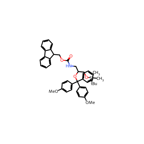 COc1ccc(C(OC(CNC(=O)OCC2c3ccccc3-c3ccccc32)CO[Si](C)(C)C(C)(C)C)(c2ccccc2)c2ccc(OC)cc2)cc1